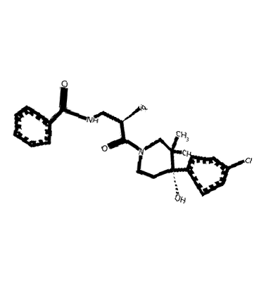 CC(C)[C@H](CNC(=O)c1ccccc1)C(=O)N1CC[C@](O)(c2ccc(Cl)cc2)C(C)(C)C1